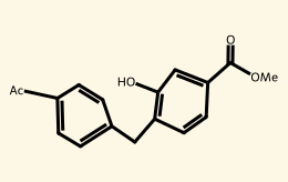 COC(=O)c1ccc(Cc2ccc(C(C)=O)cc2)c(O)c1